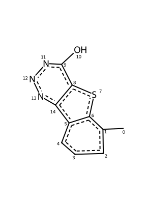 Cc1cccc2c1sc1c(O)nnnc12